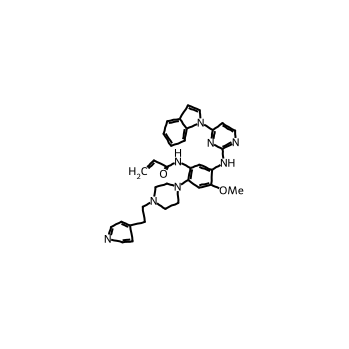 C=CC(=O)Nc1cc(Nc2nccc(-n3ccc4ccccc43)n2)c(OC)cc1N1CCN(CCc2ccncc2)CC1